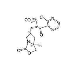 CCOC(=O)C(=C[C@@H]1C[C@H]2COC(=O)N2C1)C(=O)c1cccnc1Cl